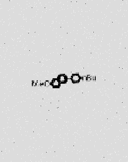 CCCC[C@H]1CC[C@H](c2ccc3cc(OC)ccc3c2)CC1